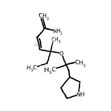 C=C(N)/C=C\C(C)(CC)OC(C)(C)C1CCNC1